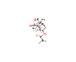 C=C(C)C(=O)O[C@@H]1CC2O[C@H]1[C@@H]1C(=O)OC[C@H]21